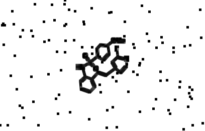 COc1ccc(S(=O)(=O)Nc2ccccc2/C=C/c2ccnc(F)c2)cc1